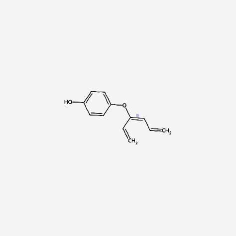 C=C/C=C(\C=C)Oc1ccc(O)cc1